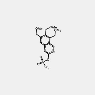 COCc1cc2cc(OS(=O)(=O)C(F)(F)F)ncc2c(COC)c1COC